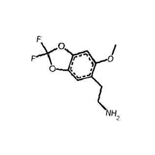 COc1cc2c(cc1CCN)OC(F)(F)O2